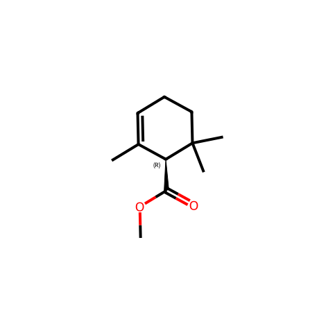 COC(=O)[C@H]1C(C)=CCCC1(C)C